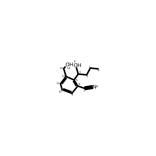 CCCC(O)c1c(C#N)cccc1CO